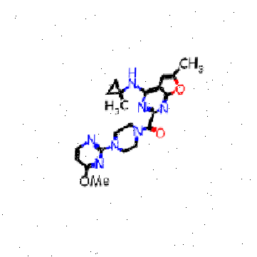 COc1ccnc(N2CCN(C(=O)c3nc(NC4(C)CC4)c4cc(C)oc4n3)CC2)n1